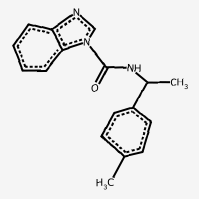 Cc1ccc(C(C)NC(=O)n2cnc3ccccc32)cc1